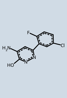 Nc1cc(-c2cc(Cl)ccc2F)nnc1O